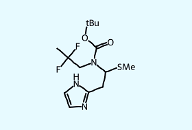 CSC(Cc1ncc[nH]1)N(CC(C)(F)F)C(=O)OC(C)(C)C